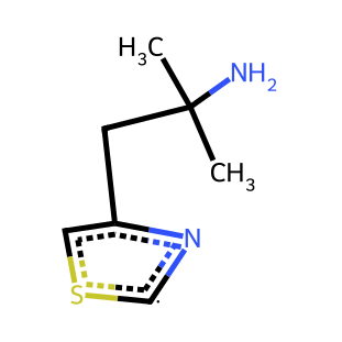 CC(C)(N)Cc1cs[c]n1